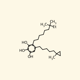 CCC(C)(C)CCCCCCc1c(CCCCCC2(C)CC2)cc(O)c(O)c1O